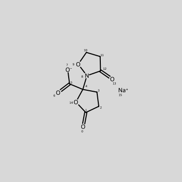 O=C1CCC(C(=O)[O-])(N2OCCC2=O)O1.[Na+]